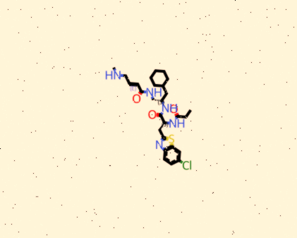 CCC(=O)N[C@@H](Cc1nc2ccc(Cl)cc2s1)C(=O)N[C@H](CNC(=O)/C=C/CNC)CC1CCCCC1